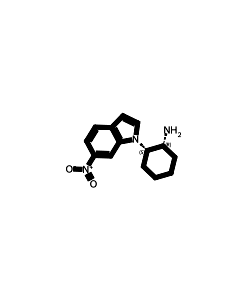 N[C@@H]1CCCC[C@@H]1n1ccc2ccc([N+](=O)[O-])cc21